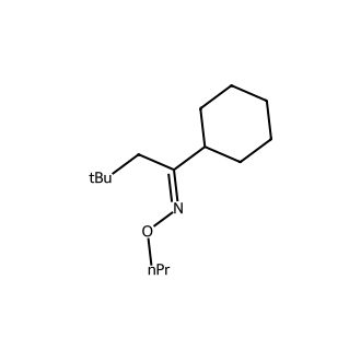 CCCON=C(CC(C)(C)C)C1CCCCC1